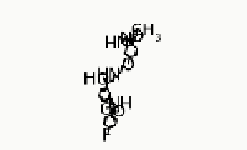 COc1n[nH]c2cc(OCCNCC(O)c3cccc(NS(=O)(=O)c4ccc(F)cc4)c3)ccc12